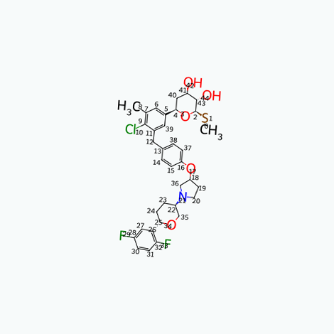 CS[C@H]1O[C@@H](c2cc(C)c(Cl)c(Cc3ccc(OC4CCN([C@@H]5CC[C@@H](c6cc(F)ccc6F)OC5)C4)cc3)c2)C[C@@H](O)[C@@H]1O